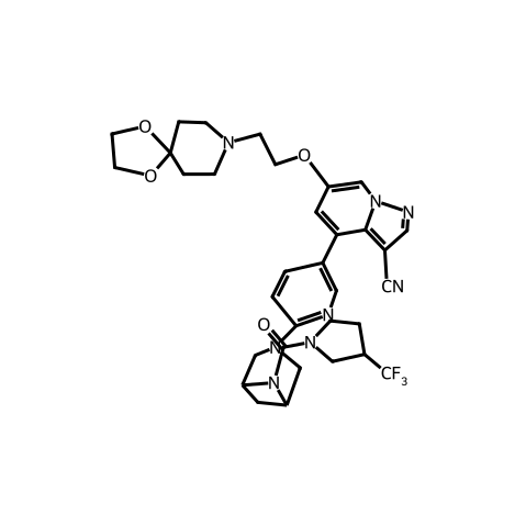 N#Cc1cnn2cc(OCCN3CCC4(CC3)OCCO4)cc(-c3ccc(N4CC5CC(C4)N5C(=O)N4CCC(C(F)(F)F)C4)nc3)c12